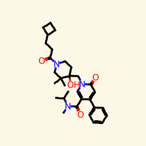 CC(C)N(C)C(=O)c1cn(CC2(O)CCN(C(=O)CCC3CCC3)CC2(C)C)c(=O)cc1-c1ccccc1